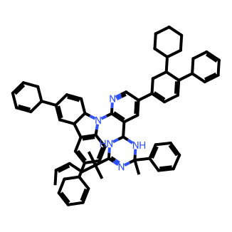 C/C=C\CC(C)(C)C1=NC(C)(c2ccccc2)NC(c2cc(C3=CC=C(C4C=CC=CC4)C(C4CCCCC4)C3)cnc2N2c3ccc(C4C=CC=CC4)cc3C3C=C(C4C=CC=CC4)C=CC32)N1